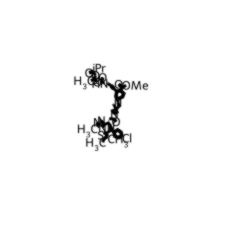 COC(=O)c1ccc(N2CC3(CN(C(=O)C[C@@H]4N=C(c5ccc(Cl)cc5)c5c(sc(C)c5C)-n5c(C)nnc54)C3)C2)cc1C#CCNC(=O)OC(C)OC(=O)C(C)C